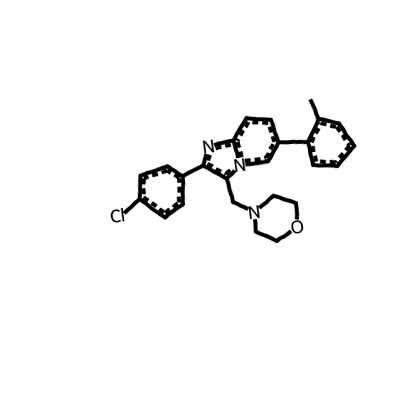 Cc1ccccc1-c1ccc2nc(-c3ccc(Cl)cc3)c(CN3CCOCC3)n2c1